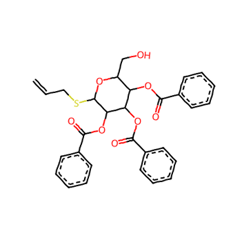 C=CCSC1OC(CO)C(OC(=O)c2ccccc2)C(OC(=O)c2ccccc2)C1OC(=O)c1ccccc1